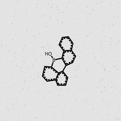 OB1c2c(ccc3ccccc23)-c2cccc3cccc1c23